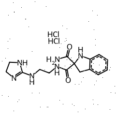 Cl.Cl.NC(=O)C1(C(=O)NCCNC2=NCCN2)Cc2c[c]ccc2N1